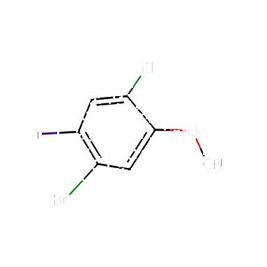 COc1cc(Br)c(I)cc1Cl